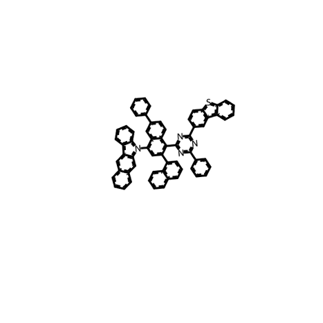 c1ccc(-c2ccc3c(-c4nc(-c5ccccc5)nc(-c5ccc6sc7ccccc7c6c5)n4)c(-c4cccc5ccccc45)cc(-n4c5ccccc5c5cc6ccccc6cc54)c3c2)cc1